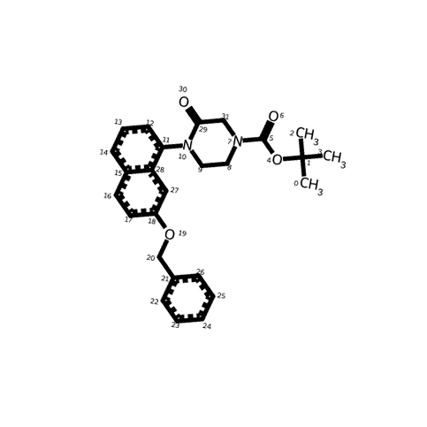 CC(C)(C)OC(=O)N1CCN(c2cccc3ccc(OCc4ccccc4)cc23)C(=O)C1